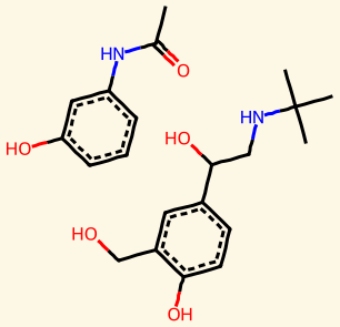 CC(=O)Nc1cccc(O)c1.CC(C)(C)NCC(O)c1ccc(O)c(CO)c1